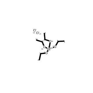 CC[O][Hf+2]([O]CC)([O]CC)[O]CC.[Cl-].[Cl-]